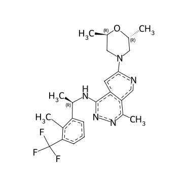 Cc1c([C@@H](C)Nc2nnc(C)c3cnc(N4C[C@@H](C)O[C@H](C)C4)cc23)cccc1C(F)(F)F